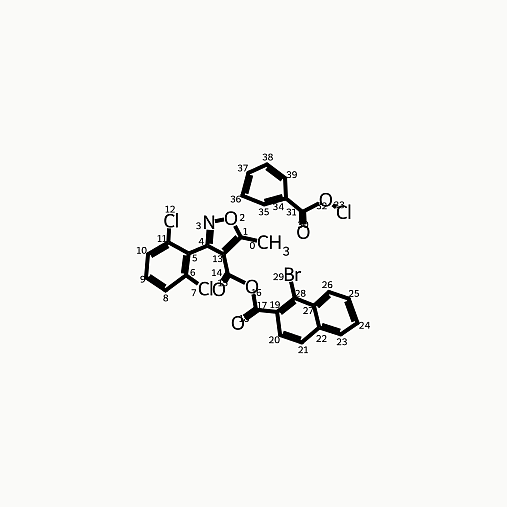 Cc1onc(-c2c(Cl)cccc2Cl)c1C(=O)OC(=O)c1ccc2ccccc2c1Br.O=C(OCl)c1ccccc1